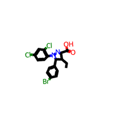 CCC1C(C(=O)O)=NN(c2ccc(Cl)cc2Cl)C1c1ccc(Br)cc1